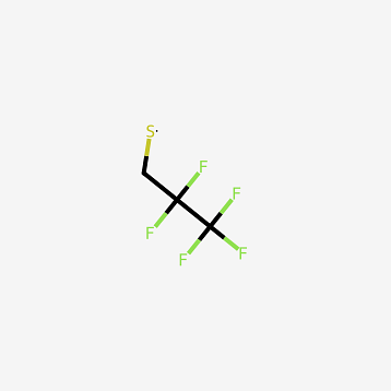 FC(F)(F)C(F)(F)C[S]